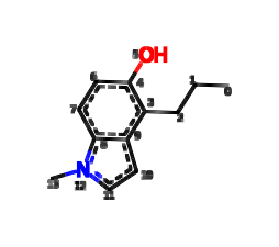 CCCc1c(O)ccc2c1ccn2C